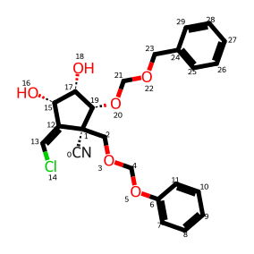 N#C[C@]1(COCOc2ccccc2)/C(=C\Cl)[C@H](O)[C@H](O)[C@@H]1OCOCc1ccccc1